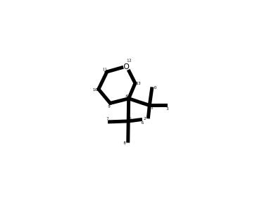 CC(C)(C)C1(C(C)(C)C)CC[CH]OC1